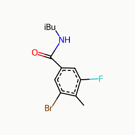 CCC(C)NC(=O)c1cc(F)c(C)c(Br)c1